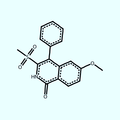 COc1ccc2c(=O)[nH]c(S(C)(=O)=O)c(-c3ccccc3)c2c1